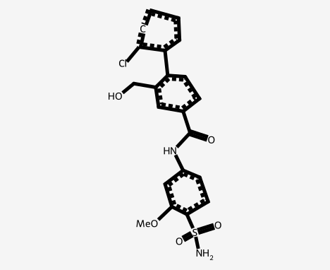 COc1cc(NC(=O)c2ccc(-c3ccccc3Cl)c(CO)c2)ccc1S(N)(=O)=O